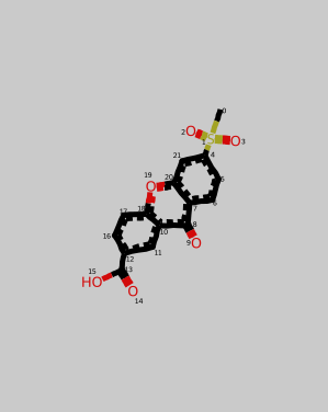 CS(=O)(=O)c1ccc2c(=O)c3cc(C(=O)O)ccc3oc2c1